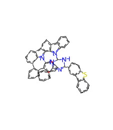 c1ccc(C2=NC(n3c4ccccc4c4ccc5c6cccc7c6n(c5c43)-c3ccccc3-c3ccccc3-7)NC(c3ccc4sc5ccccc5c4c3)=N2)cc1